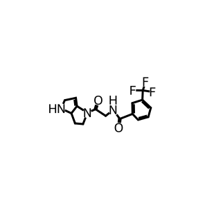 O=C(NCC(=O)N1CCC2NCC=C21)c1cccc(C(F)(F)F)c1